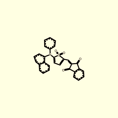 O=C1C(=CC2=CC=C(N(c3ccccc3)c3cccc4ccccc34)S2(=O)=O)C(=O)c2ccccc21